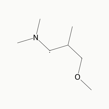 COCC(C)[CH]N(C)C